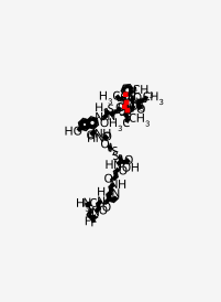 CCCC(=O)OCN(C(=O)[C@@H](NC(=O)[C@H]1CCCCN1C)C(C)CC)[C@H](C[C@@H](OC(C)=O)c1nc(C(=O)N[C@H]2Cc3ccc(O)cc3[C@H](C(=O)NNC(=O)OCCSSCC(NC(=O)CCC(=O)NCc3cc(C(=O)N[C@H](C)C(=O)N4CC(F)(F)C[C@H]4C#N)ccn3)C(=O)O)C2)cs1)C(C)C